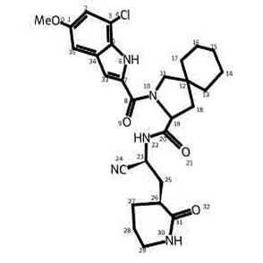 COc1cc(Cl)c2[nH]c(C(=O)N3CC4(CCCCC4)CC3C(=O)N[C@H](C#N)C[C@@H]3CCCNC3=O)cc2c1